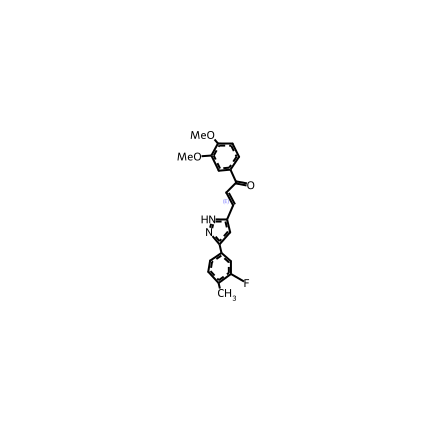 COc1ccc(C(=O)/C=C/c2cc(-c3ccc(C)c(F)c3)n[nH]2)cc1OC